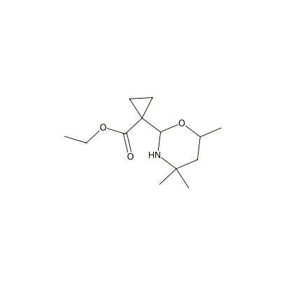 CCOC(=O)C1(C2NC(C)(C)CC(C)O2)CC1